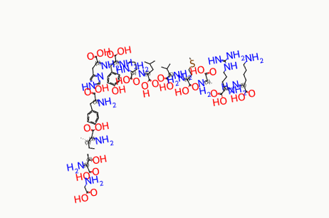 CC(C)C[C@H](N)C(=O)O.CC(C)[C@H](N)C(=O)O.CC[C@H](C)[C@H](N)C(=O)O.CSCC[C@H](N)C(=O)O.C[C@@H](O)[C@H](N)C(=O)O.C[C@H](N)C(=O)O.N=C(N)NCCC[C@H](N)C(=O)O.NCC(=O)O.NCCCC[C@H](N)C(=O)O.N[C@@H](Cc1c[nH]cn1)C(=O)O.N[C@@H](Cc1ccc(O)cc1)C(=O)O.N[C@@H](Cc1ccccc1)C(=O)O.O=C(O)[C@@H]1CCCN1